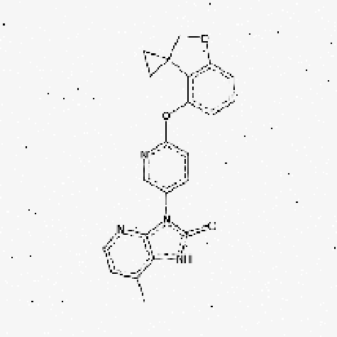 Cc1ccnc2c1[nH]c(=O)n2-c1ccc(Oc2cccc3c2C2(CC2)CO3)nc1